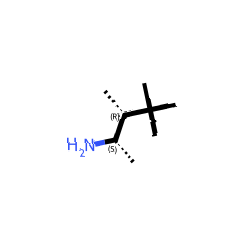 C[C@H](N)[C@H](C)C(C)(C)C